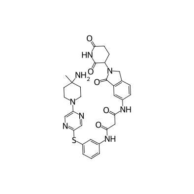 CC1(N)CCN(c2cnc(Sc3cccc(NC(=O)CC(=O)Nc4ccc5c(c4)C(=O)N(C4CCC(=O)NC4=O)C5)c3)cn2)CC1